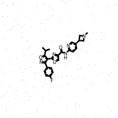 CC(C)c1onc(-c2ccc(F)cc2)c1-c1nc(C(=O)Nc2ccc(C3CN(C)C3)cn2)co1